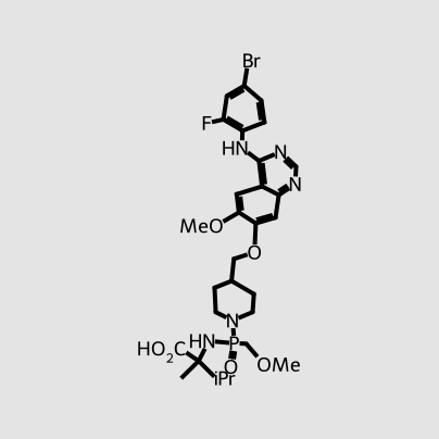 COCP(=O)(NC(C)(C(=O)O)C(C)C)N1CCC(COc2cc3ncnc(Nc4ccc(Br)cc4F)c3cc2OC)CC1